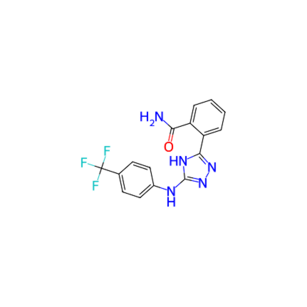 NC(=O)c1ccccc1-c1nnc(Nc2ccc(C(F)(F)F)cc2)[nH]1